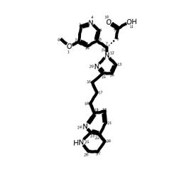 COc1cncc([C@H](CC(=O)O)n2ccc(CCCc3ccc4c(n3)NCCC4)n2)c1